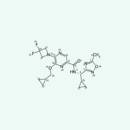 Cc1nc([C@@H](NC(=O)c2cnc(N3CC(F)(F)C3)c(OCC3CC3)n2)C2CC2)no1